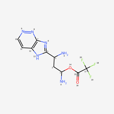 NC(CC(N)c1nc2nnccc2[nH]1)OC(=O)C(F)(F)F